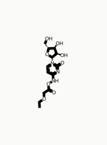 CCOCC(=O)ONc1ccn([C@@H]2O[C@H](CO)[C@@H](O)[C@H]2O)c(=O)n1